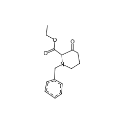 CCOC(=O)C1C(=O)CCCN1Cc1ccccc1